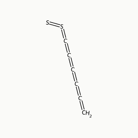 C=C=C=C=C=C=S=S